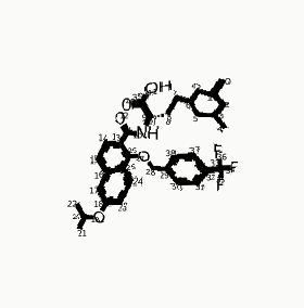 C=C1CC(C)CC(CC[C@H](NC(=O)c2ccc3cc(OC(C)C)ccc3c2OCc2ccc(C(F)(F)F)cc2)C(=O)O)C1